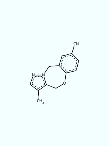 Cc1cnn2c1COc1ccc(C#N)cc1C2